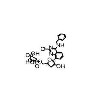 O=P(O)(O)CP(=O)(O)OC[C@@H]1C[C@@H](O)[C@H](c2cccc3c(NCc4ccccc4)nc(Cl)nc23)O1